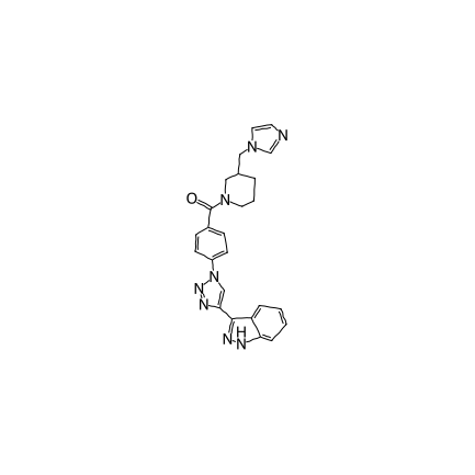 O=C(c1ccc(-n2cc(-c3n[nH]c4ccccc34)nn2)cc1)N1CCCC(Cn2ccnc2)C1